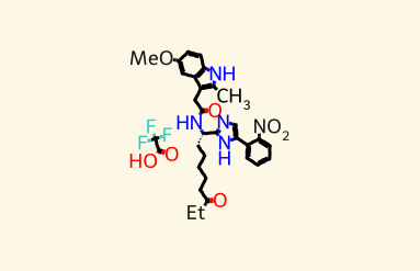 CCC(=O)CCCCC[C@H](NC(=O)Cc1c(C)[nH]c2ccc(OC)cc12)c1ncc(-c2ccccc2[N+](=O)[O-])[nH]1.O=C(O)C(F)(F)F